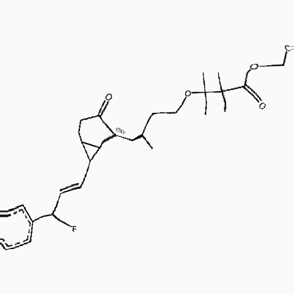 CC(CCOC(C)(C)C(C)(C)C(=O)OCC(Cl)(Cl)Cl)[C@@H]1C(=O)CC2C(C=CC(F)c3ccccc3)C21